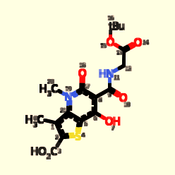 Cc1c(C(=O)O)sc2c(O)c(C(=O)NCC(=O)OC(C)(C)C)c(=O)n(C)c12